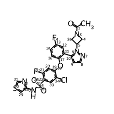 CC(=O)N1CC(n2nccc2-c2cc(F)ccc2Oc2cc(F)c(S(=O)(=O)Nc3cscn3)cc2Cl)C1